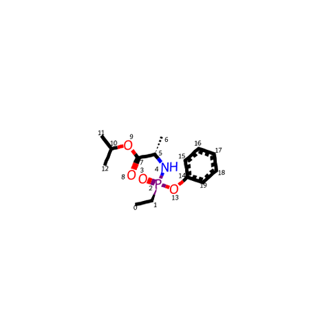 CC[P@@](=O)(N[C@@H](C)C(=O)OC(C)C)Oc1ccccc1